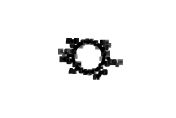 CN[C@H]1CSSC[C@H](N)C(=O)N[C@@H](CC(=O)O)C(=O)C[C@H](C(=O)C(C)C)CSSC[C@@H](C(C)=O)NC(=O)[C@H]([C@@H](C)O)NC1=O